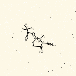 C[C@H]1C(C#N)C(=O)CCN1OC(=O)C(C)(C)C